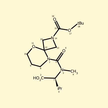 CC(C)[C@@H](C(=O)O)N(C)C(=O)N1CCCOC12CN(C(=O)OC(C)(C)C)C2